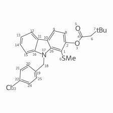 CSc1c(OC(=O)CC(C)(C)C)ccc2c3ccccc3n(Cc3ccc(Cl)cc3)c12